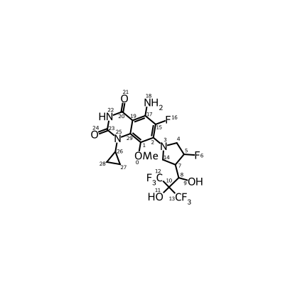 COc1c(N2CC(F)C(C(O)C(O)(C(F)(F)F)C(F)(F)F)C2)c(F)c(N)c2c(=O)[nH]c(=O)n(C3CC3)c12